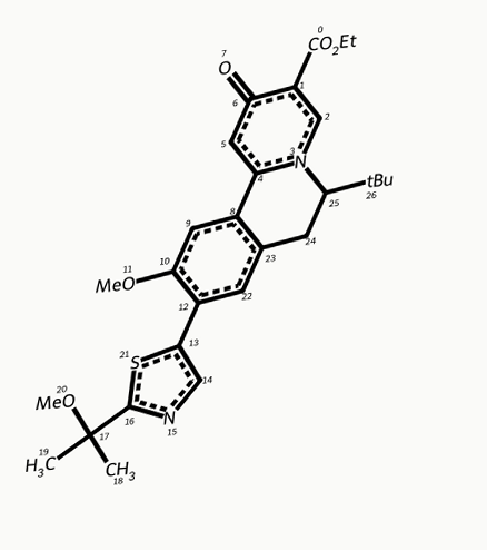 CCOC(=O)c1cn2c(cc1=O)-c1cc(OC)c(-c3cnc(C(C)(C)OC)s3)cc1CC2C(C)(C)C